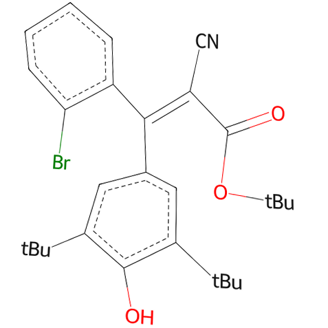 CC(C)(C)OC(=O)C(C#N)=C(c1cc(C(C)(C)C)c(O)c(C(C)(C)C)c1)c1ccccc1Br